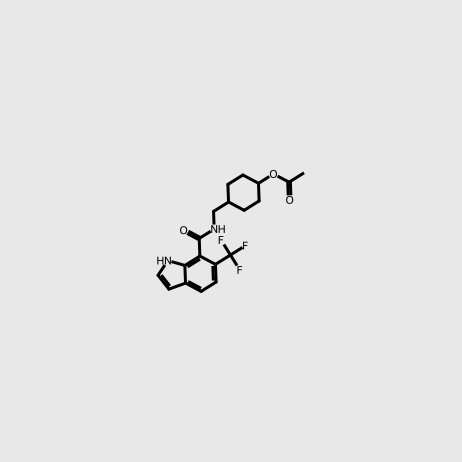 CC(=O)OC1CCC(CNC(=O)c2c(C(F)(F)F)ccc3cc[nH]c23)CC1